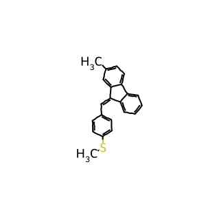 CSc1ccc(/C=C2\c3ccccc3-c3ccc(C)cc32)cc1